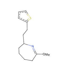 COC1=NC(CCc2cccs2)CCCC1